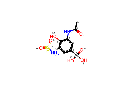 CC(=O)Nc1cc([As](=O)(O)O)ccc1O.N[SH](=O)=O